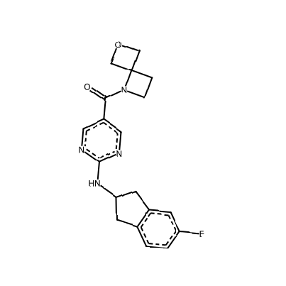 O=C(c1cnc(NC2Cc3ccc(F)cc3C2)nc1)N1CCC12COC2